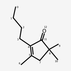 CCCCC1=C(C)CC(C)(C)C1=O